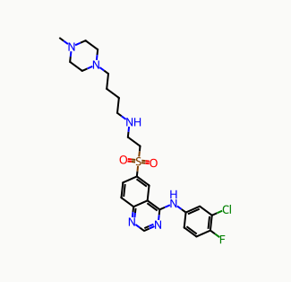 CN1CCN(CCCCNCCS(=O)(=O)c2ccc3ncnc(Nc4ccc(F)c(Cl)c4)c3c2)CC1